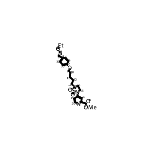 CCO/N=C/c1ccc(OCCCCCN2CCN(c3ccnc(C(=O)OC)c3)S2(=O)=O)cc1